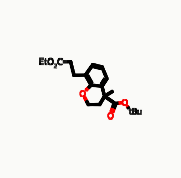 CCOC(=O)CCc1cccc2c1OCCC2(C)C(=O)OC(C)(C)C